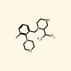 Fc1cccc(CN2CCNCC2C(C(F)(F)F)C(F)(F)F)c1N1CCOCC1